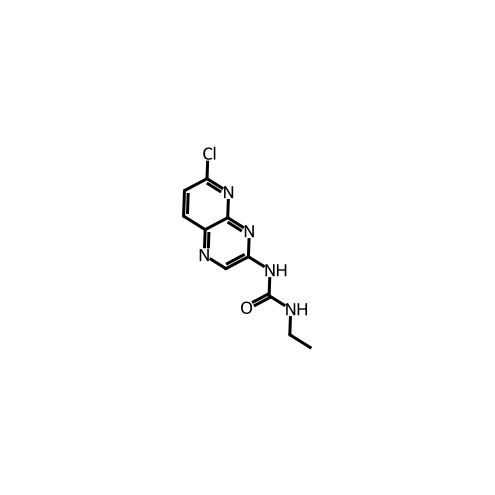 CCNC(=O)Nc1cnc2ccc(Cl)nc2n1